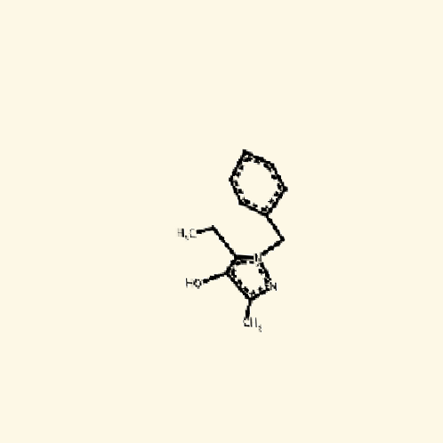 CCc1c(O)c(C)nn1Cc1ccccc1